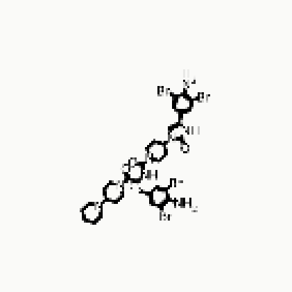 Nc1c(Br)cc(C[C@@H](NC(=O)N2CCC(n3cc(-c4cc(Br)c(N)c(Br)c4)[nH]c3=O)CC2)C(=O)N2CCC(N3CCCCC3)CC2)cc1Br